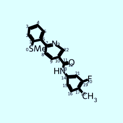 CSc1ccccc1-c1ccc(C(=O)Nc2ccc(C)c(F)c2)cn1